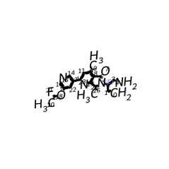 C=C/C(=C\N)N1C(=O)c2c(C)cc(-c3cncc(OC(C)F)c3)nc2C1C